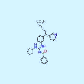 O=C(O)CCC/C=C(/c1cccnc1)c1cccc(N/C(=N\C(=O)c2ccccc2)NC2CCCC2)c1